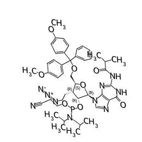 COc1ccc(C(OC[C@H]2O[C@@H](n3cnc4c(=O)[nH]c(NC(=O)C(C)C)nc43)[C@H](OP(OCCC#N)N(C(C)C)C(C)C)[C@@H]2CCN=[N+]=[N-])(c2ccccc2)c2ccc(OC)cc2)cc1